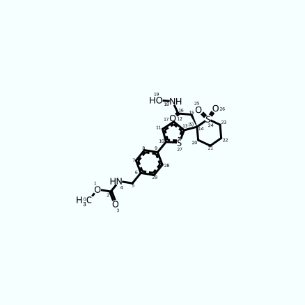 COC(=O)NCc1ccc(-c2ccc([C@@]3(CC(=O)NO)CCCCS3(=O)=O)s2)cc1